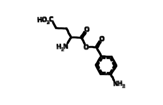 Nc1ccc(C(=O)OC(=O)C(N)CCC(=O)O)cc1